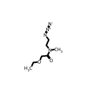 CCOCC(=O)N(C)CCN=[N+]=[N-]